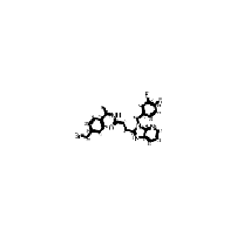 CC(NC(=O)CCc1nc2cccnc2n1Cc1ccc(F)c(F)c1)c1ccc(CBr)cc1